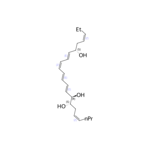 CC/C=C\C[C@H](O)/C=C/C=C\C=C\C=C\[C@@H](O)[C@@H](O)C/C=C\CCC